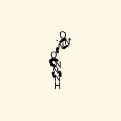 C[C@@H]1C(=O)N(C)CCN1CCOc1ccc(N2CCNCC2)nc1